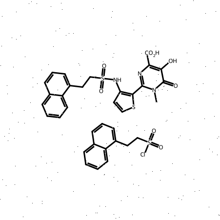 Cn1c(-c2sccc2NS(=O)(=O)CCc2cccc3ccccc23)nc(C(=O)O)c(O)c1=O.O=S(=O)(Cl)CCc1cccc2ccccc12